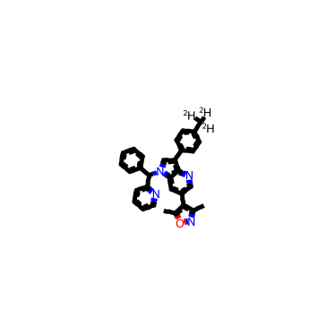 [2H]C([2H])([2H])c1ccc(-c2cn(C(c3ccccc3)c3ccccn3)c3cc(-c4c(C)noc4C)cnc23)cc1